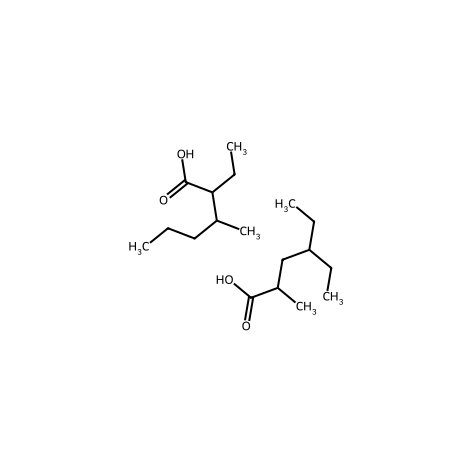 CCC(CC)CC(C)C(=O)O.CCCC(C)C(CC)C(=O)O